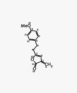 C=C1C=C(CCc2ccc(OC)cc2)OC1=O